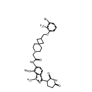 COc1c(NC(=O)CN2CCC3(CC2)CC(COc2cccc(Br)c2C(F)(F)F)C3)ccc2c(C3CCC(=O)NC3=O)nn(C)c12